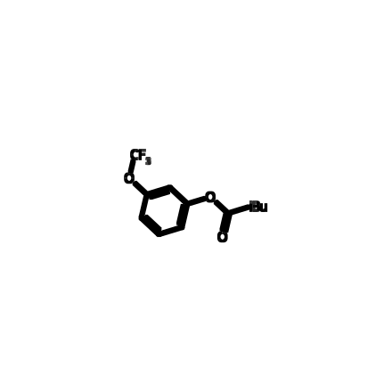 CCC(C)C(=O)Oc1cccc(OC(F)(F)F)c1